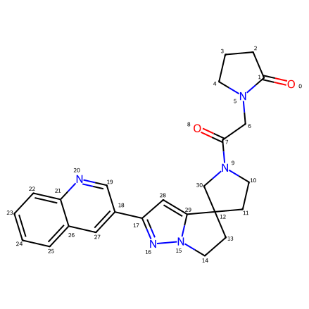 O=C1CCCN1CC(=O)N1CCC2(CCn3nc(-c4cnc5ccccc5c4)cc32)C1